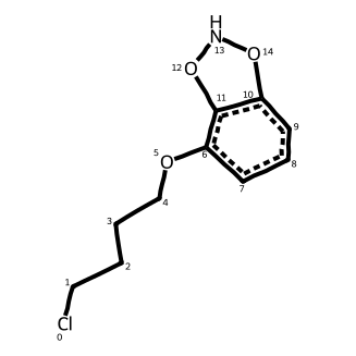 ClCCCCOc1cccc2c1ONO2